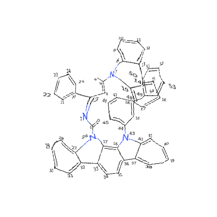 C=C(/N=C(\C=C(/C)n1c2ccccc2c2ccccc21)c1ccccc1)n1c2ccccc2c2ccc3c4ccccc4n(-c4cccc(-c5ccccc5)c4)c3c21